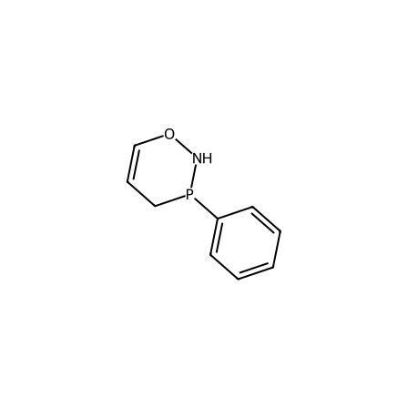 C1=CONP(c2ccccc2)C1